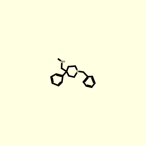 CNCC1(c2ccccc2)CCN(Cc2ccccc2)CC1